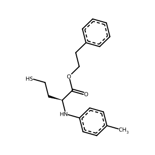 Cc1ccc(N[C@@H](CCS)C(=O)OCCc2ccccc2)cc1